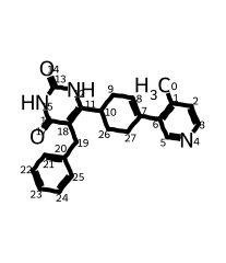 Cc1ccncc1C1=CCC(c2[nH]c(=O)[nH]c(=O)c2Cc2ccccc2)CC1